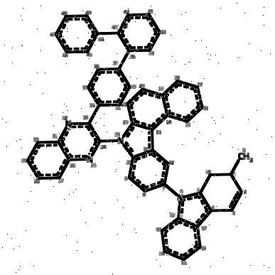 CC1C=Cc2c(n(-c3ccc4c(c3)c3c5ccccc5ccc3n4-c3nc4ccccc4nc3-c3ccc(-c4ccccc4-c4ccccc4)cc3)c3ccccc23)C1